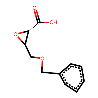 O=C(O)[C@H]1OC1COCc1ccccc1